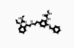 CCN(C(=O)NC)c1ccccc1CCNCCc1ccc(OCc2ccccc2)c(NC(=O)NC)c1